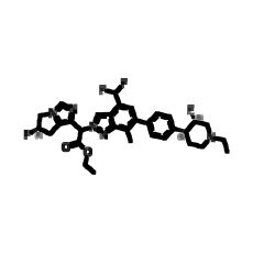 CCOC(=O)C(c1ncn2c1C[C@@H](F)C2)n1cc2c(C(F)F)cc(-c3ccc([C@@H]4CCN(CC)C[C@H]4F)cc3)c(C)c2n1